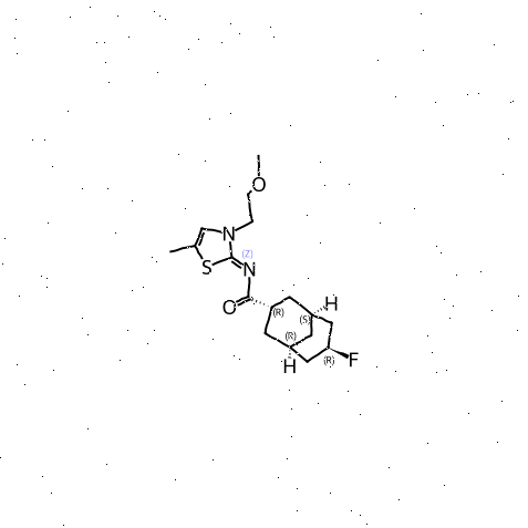 COCCn1cc(C)s/c1=N\C(=O)[C@H]1C[C@@H]2C[C@H](F)C[C@@H](C2)C1